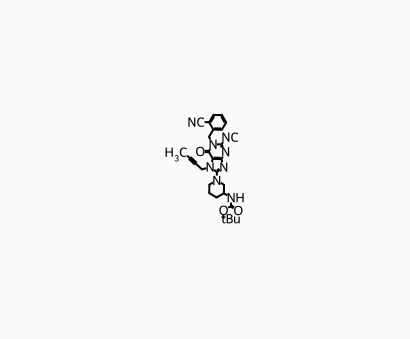 [C-]#[N+]c1nc2nc(N3CCCC(NC(=O)OC(C)(C)C)C3)n(CC#CC)c2c(=O)n1Cc1ccccc1C#N